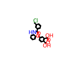 O=C(Nc1ccccc1Oc1ccc(C(=O)O)c(C(=O)O)c1)c1cccc(CCl)c1